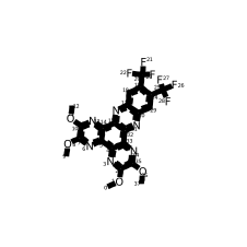 COc1nc2c3nc(OC)c(OC)nc3c3nc4cc(C(F)(F)F)c(C(F)(F)F)cc4nc3c2nc1OC